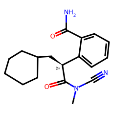 CN(C#N)C(=O)[C@@H](CC1CCCCC1)c1ccccc1C(N)=O